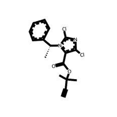 C#CC(C)(C)OC(=O)c1c(Cl)nc(Cl)n1[C@H](C)c1ccccc1